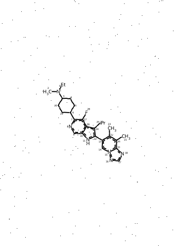 CCN(C)C1CCC(c2ncc3[nH]c(-c4cn5ncnc5c(C)c4C)c(C(C)C)c3c2F)CC1